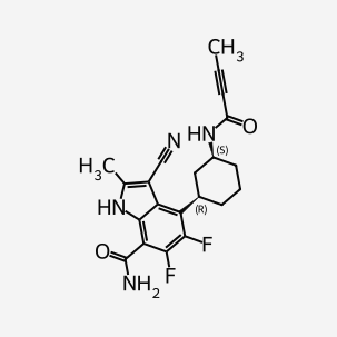 CC#CC(=O)N[C@H]1CCC[C@@H](c2c(F)c(F)c(C(N)=O)c3[nH]c(C)c(C#N)c23)C1